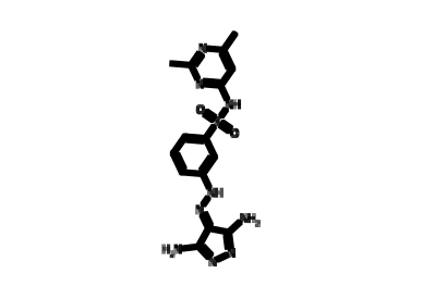 Cc1cc(NS(=O)(=O)c2cccc(NN=C3C(N)=NN=C3N)c2)nc(C)n1